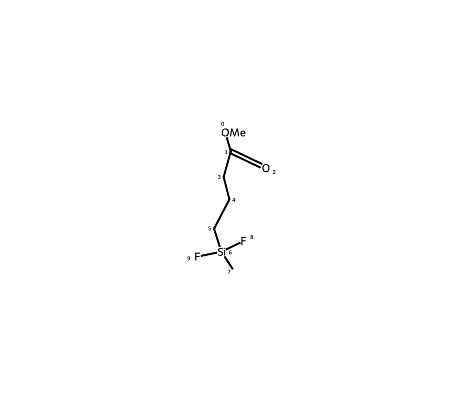 COC(=O)CCC[Si](C)(F)F